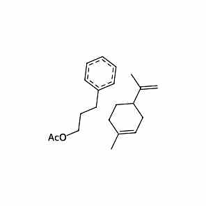 C=C(C)C1CC=C(C)CC1.CC(=O)OCCCc1ccccc1